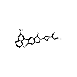 C=CC(=O)N1CC(N2Cc3cc(Cl)c(-c4cc(O)cc5ccccc45)cc3C2=O)C1